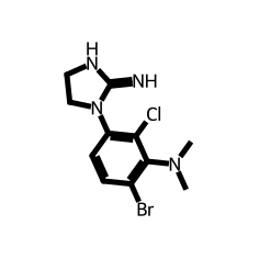 CN(C)c1c(Br)ccc(N2CCNC2=N)c1Cl